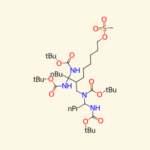 CCCCC(NC(=O)OC(C)(C)C)(NC(=O)OC(C)(C)C)C(CCCCCCOS(C)(=O)=O)CN(C(=O)OC(C)(C)C)C(CCC)NC(=O)OC(C)(C)C